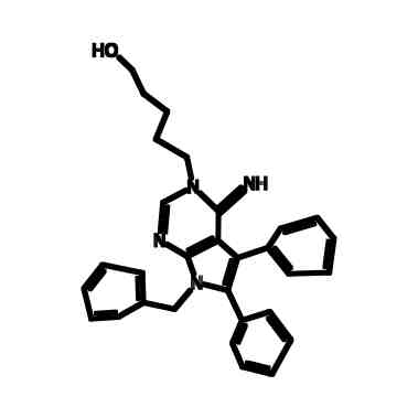 N=c1c2c(-c3ccccc3)c(-c3ccccc3)n(Cc3ccccc3)c2ncn1CCCCCO